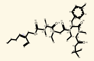 C=C/C(=C\CCC)COC(=O)N(C)[C@@H](C)C(=O)N(CC)CC(=O)N(CC)[C@@H](Cc1ccc(C)cc1)C(=O)N(C)CC(=O)CC(C)(C)C